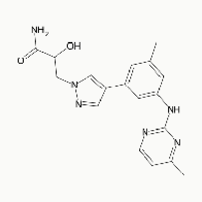 Cc1cc(Nc2nccc(C)n2)cc(-c2cnn(CC(O)C(N)=O)c2)c1